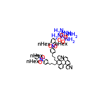 CCCCCCO[N+](OCCCCCC)(c1ccccc1)c1ccc(CCCc2c(CCCc3ccc([N+](OCCCCCC)(OCCCCCC)c4ccccc4)cc3)c3cccc4c5c(C#N)ccc6cccc(c(c2C#N)c34)c65)cc1.NC(=O)NC(N)=O.NC(=O)NC(N)=O